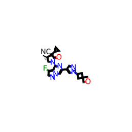 C[C@@H]1CN(c2nc(-c3cnn(C4CC5(COC5)C4)c3)cn3ncc(F)c23)C(=O)[C@]1(C#N)C1CC1